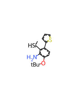 C[SiH](C)c1c(-c2cccs2)ccc(OC(C)(C)C)c1N